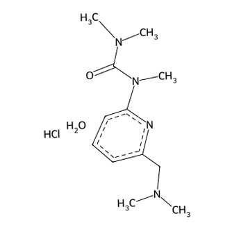 CN(C)Cc1cccc(N(C)C(=O)N(C)C)n1.Cl.O